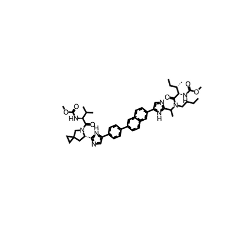 CCCCN(C(=O)[C@@H](NC(=O)OC)[C@@H](C)CC)C(C)c1ncc(-c2ccc3cc(-c4ccc(-c5cnc([C@@H]6CC7(CC7)CN6C(=O)[C@@H](NC(=O)OC)C(C)C)[nH]5)cc4)ccc3c2)[nH]1